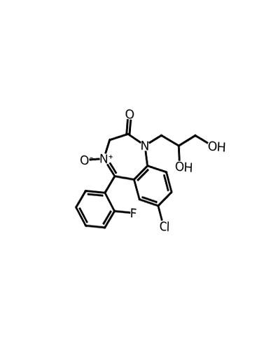 O=C1C[N+]([O-])=C(c2ccccc2F)c2cc(Cl)ccc2N1CC(O)CO